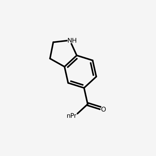 CCCC(=O)c1ccc2c(c1)CCN2